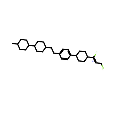 CC1CCC(C2CCC(CCc3ccc(C4CCC(/C(F)=C/CF)CC4)cc3)CC2)CC1